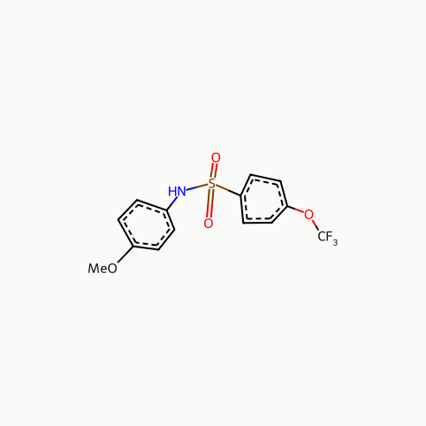 COc1ccc(NS(=O)(=O)c2ccc(OC(F)(F)F)cc2)cc1